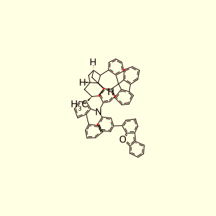 C[C@H]1C[C@@H]2C[C@@H]3C[C@H](C1)C21c2cc(N(c4cccc(-c5cccc6c5oc5ccccc56)c4)c4ccccc4-c4ccccc4)ccc2C2(c4ccccc4-c4ccccc42)c2ccccc2C31